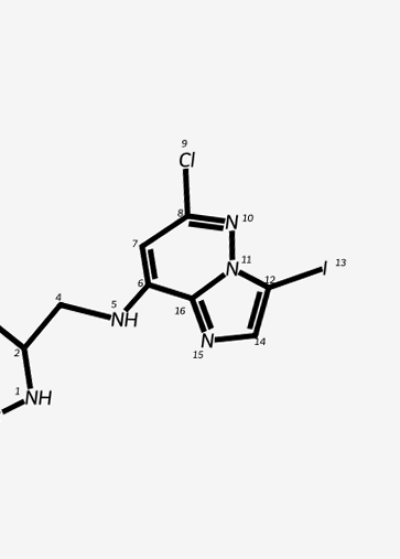 CCNC(C)CNc1cc(Cl)nn2c(I)cnc12